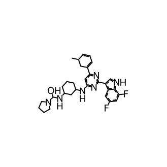 CC1C=CC=C(c2cc(NC3CCCC(NC(O)N4CCCC4)C3)nc(-c3c[nH]c4c(F)cc(F)cc34)n2)C1